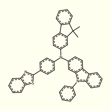 CC1(C)c2ccccc2-c2ccc(N(c3ccc(-c4nc5ccccc5s4)cc3)c3ccc4c5ccccc5n(-c5ccccc5)c4c3)cc21